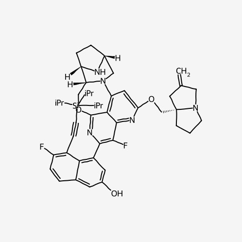 C=C1CN2CCC[C@@]2(COc2cc3c4c(nc(-c5cc(O)cc6ccc(F)c(C#C[Si](C(C)C)(C(C)C)C(C)C)c56)c(F)c4n2)OC[C@@H]2[C@@H]4CC[C@H](CN32)N4)C1